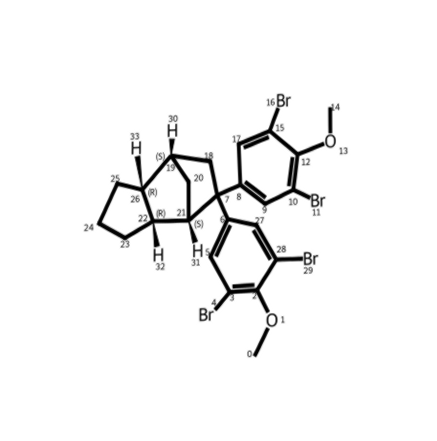 COc1c(Br)cc(C2(c3cc(Br)c(OC)c(Br)c3)C[C@@H]3C[C@H]2[C@@H]2CCC[C@H]32)cc1Br